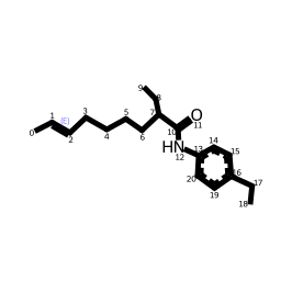 C/C=C/CCCCC(CC)C(=O)Nc1ccc(CC)cc1